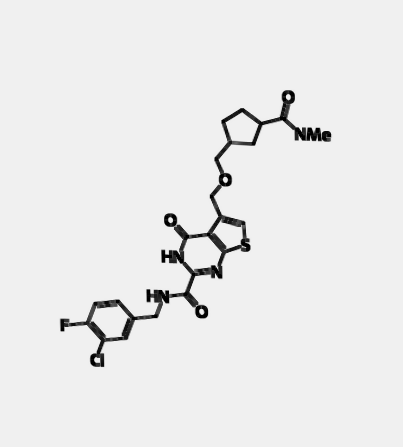 CNC(=O)C1CCC(COCc2csc3nc(C(=O)NCc4ccc(F)c(Cl)c4)[nH]c(=O)c23)C1